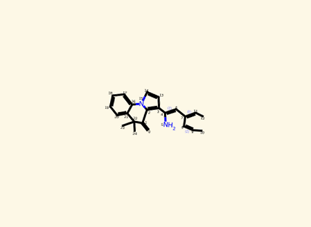 C=C1c2c(/C(N)=C/C(/C=C\C)=C/C)ccn2-c2ccccc2C1(C)C